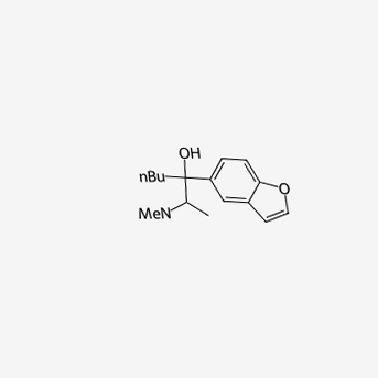 CCCCC(O)(c1ccc2occc2c1)C(C)NC